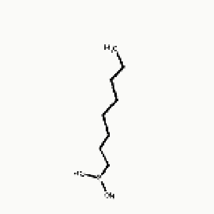 CCCCCCCCP(O)O